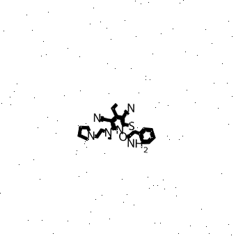 CCc1c(C#N)c(SC(C(N)=O)c2ccccc2)nc(N(C)CCN2CCCC2)c1C#N